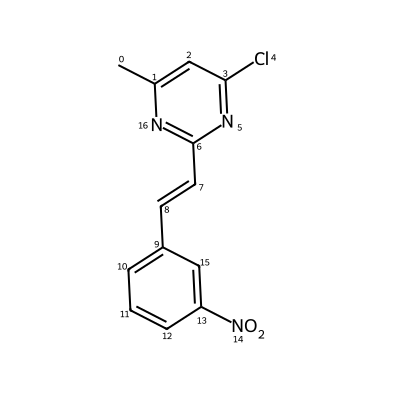 Cc1cc(Cl)nc(C=Cc2cccc([N+](=O)[O-])c2)n1